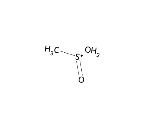 C[S+]=O.O